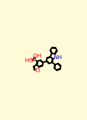 OB(O)c1cc(-c2cc(-c3ccccc3)c3[nH]c4ccccc4c3c2)cc2occc12